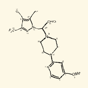 COc1ccnc(N2CCN(C(C=O)n3nc(C(F)(F)F)c(Cl)c3C)CC2)c1